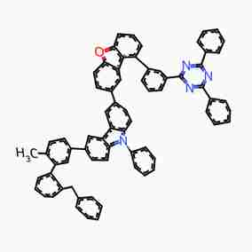 Cc1ccc(-c2ccc3c(c2)c2cc(-c4ccc5oc6cccc(-c7cccc(-c8nc(-c9ccccc9)nc(-c9ccccc9)n8)c7)c6c5c4)ccc2n3-c2ccccc2)cc1-c1ccccc1Cc1ccccc1